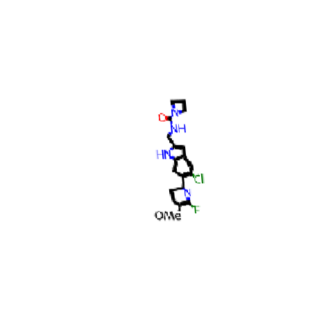 COc1ccc(-c2cc3[nH]c(CNC(=O)N4CCC4)cc3cc2Cl)nc1F